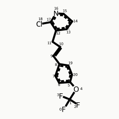 FC(F)(F)Oc1ccc(C=CCc2[c]ccnc2Cl)cc1